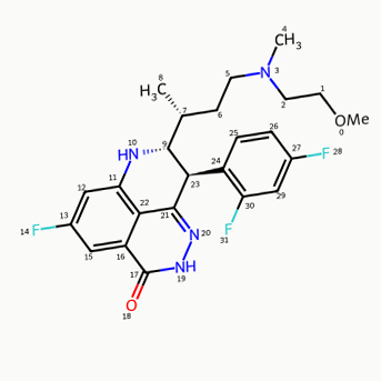 COCCN(C)CC[C@@H](C)[C@H]1Nc2cc(F)cc3c(=O)[nH]nc(c23)[C@@H]1c1ccc(F)cc1F